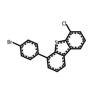 Clc1cccc2c1sc1c(-c3ccc(Br)cc3)cccc12